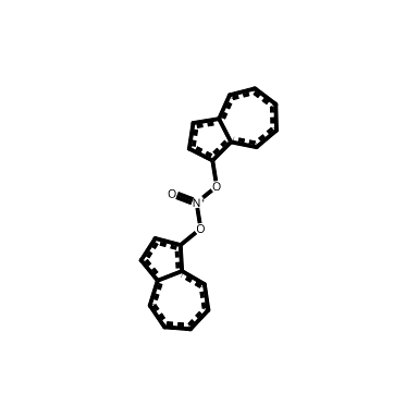 O=[N+](Oc1ccc2cccccc1-2)Oc1ccc2cccccc1-2